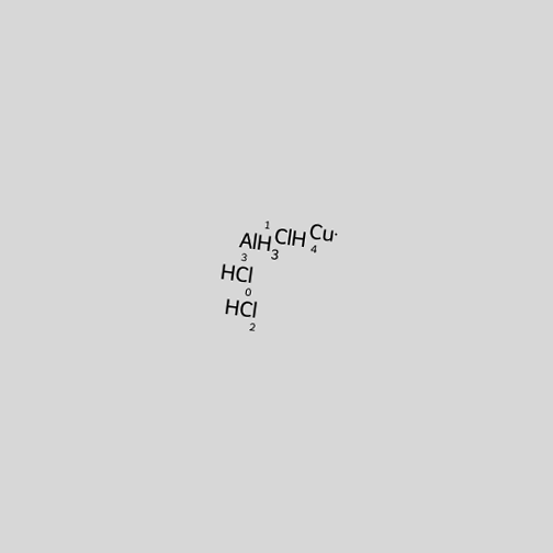 Cl.Cl.Cl.[AlH3].[Cu]